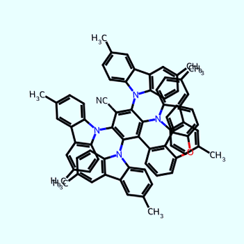 Cc1ccc2c(c1)c1cc(C)ccc1n2-c1c(C#N)c(-n2c3ccc(C)cc3c3cc(C)ccc32)c(-n2c3ccc(C)cc3c3cc(C)ccc32)c(-c2cccc3oc4ccccc4c23)c1-n1c2ccc(C)cc2c2cc(C)ccc21